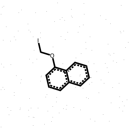 ICOc1cccc2c[c]ccc12